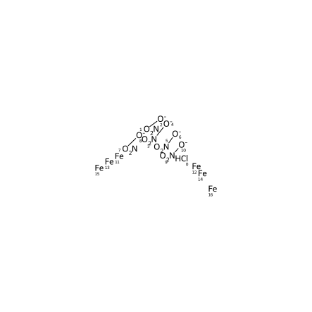 Cl.O=[N+]([O-])[O-].O=[N+]([O-])[O-].O=[N+]([O-])[O-].O=[N+]([O-])[O-].O=[N+]([O-])[O-].[Fe].[Fe].[Fe].[Fe].[Fe].[Fe]